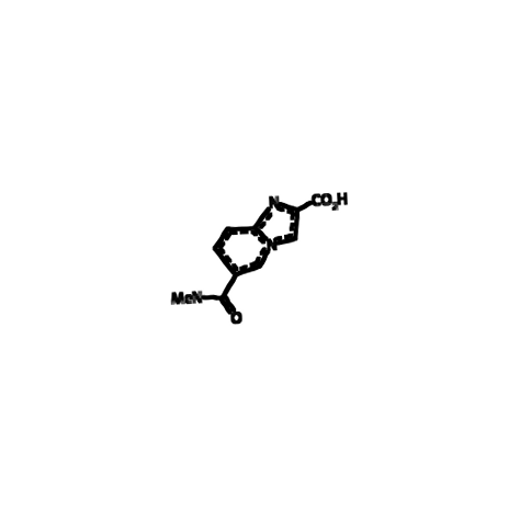 CNC(=O)c1ccc2nc(C(=O)O)cn2c1